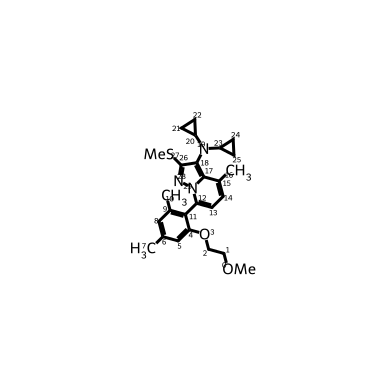 COCCOc1cc(C)cc(C)c1-c1ccc(C)c2c(N(C3CC3)C3CC3)c(SC)nn12